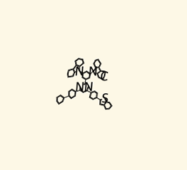 c1ccc(-c2ccc(-c3cc(-c4ccc(-c5cc6ccccc6s5)cc4)nc(-c4cc(-n5c6ccccc6c6ccccc65)cc(-n5c6ccccc6c6ccccc65)c4)n3)cc2)cc1